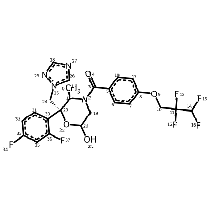 C[C@H]1N(C(=O)c2ccc(OCC(F)(F)C(F)F)cc2)CC(O)O[C@@]1(Cn1cncn1)c1ccc(F)cc1F